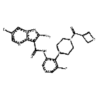 Nc1nn2cc(F)cnc2c1C(=O)Nc1cncc(F)c1N1CCN(C(=O)C2COC2)CC1